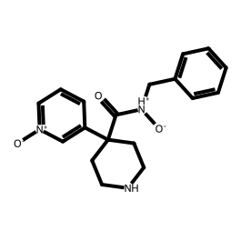 O=C([NH+]([O-])Cc1ccccc1)C1(c2ccc[n+]([O-])c2)CCNCC1